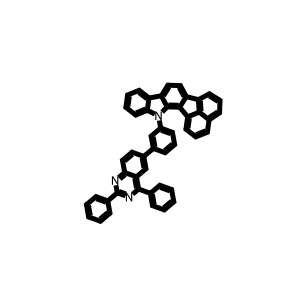 c1ccc(-c2nc(-c3ccccc3)c3cc(-c4cccc(-n5c6ccccc6c6ccc7c(c65)-c5cccc6cccc-7c56)c4)ccc3n2)cc1